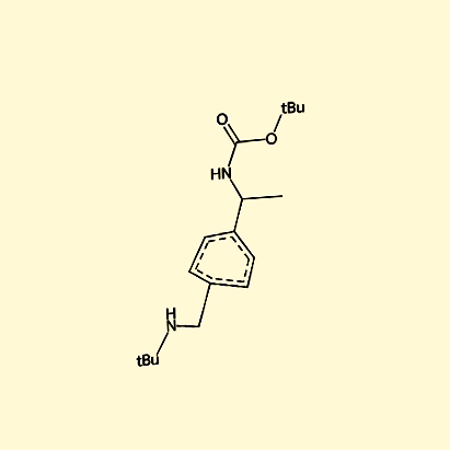 CC(NC(=O)OC(C)(C)C)c1ccc(CNC(C)(C)C)cc1